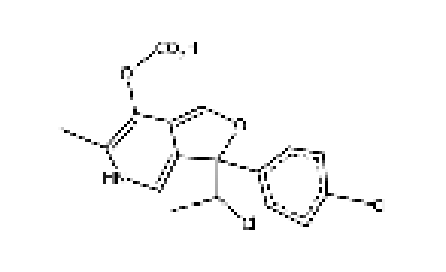 CC1=C(OC(=O)O)C2=COC(c3ccc(Cl)cc3)(C(C)Cl)C2=CN1